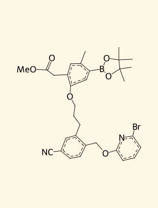 COC(=O)Cc1cc(C)c(B2OC(C)(C)C(C)(C)O2)cc1OCCCc1cc(C#N)ccc1COc1cccc(Br)n1